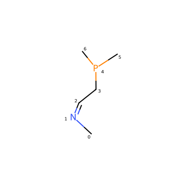 C/N=C\CP(C)C